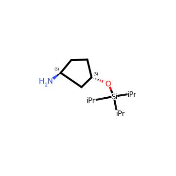 CC(C)[Si](O[C@H]1CC[C@H](N)C1)(C(C)C)C(C)C